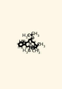 Cc1cc(C)c(C=C2N=C(c3[nH]c4ccccc4c3CCN(C)C)C=C2OC(C)C)[nH]1